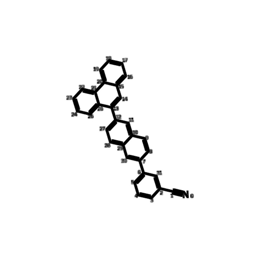 N#Cc1cccc(-c2ccc3cc(-c4cc5ccccc5c5ccccc45)ccc3c2)c1